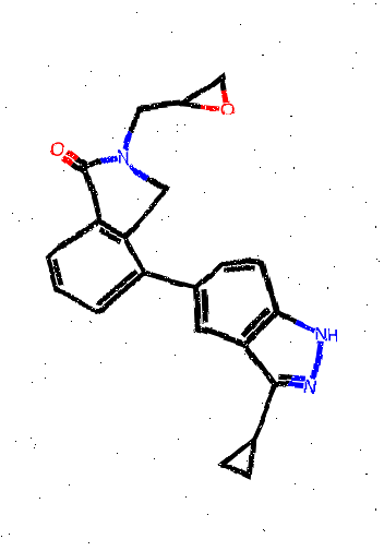 O=C1c2cccc(-c3ccc4[nH]nc(C5CC5)c4c3)c2CN1CC1CO1